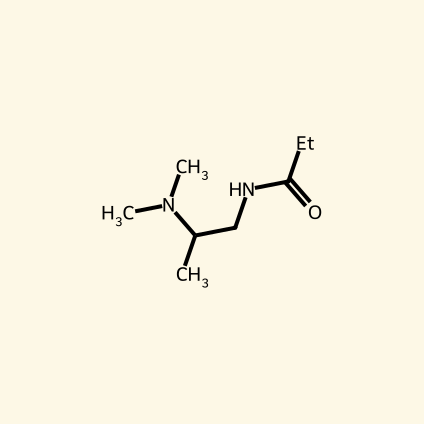 CCC(=O)NCC(C)N(C)C